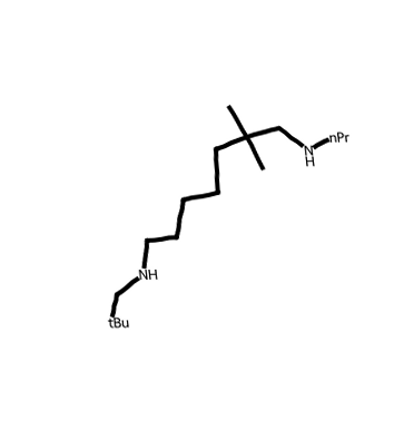 CCCNCC(C)(C)CCCCCNCC(C)(C)C